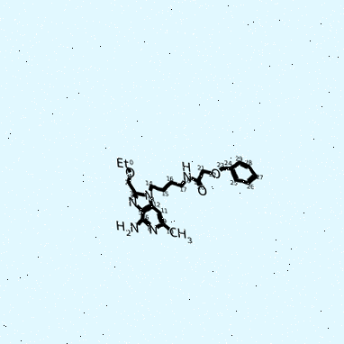 CCOCc1nc2c(N)nc(C)cc2n1CCCCNC(=O)COCc1ccccc1